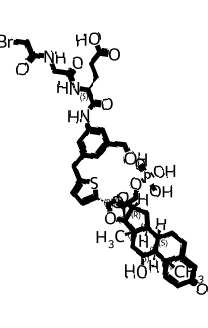 C[C@]12C=CC(=O)C=C1CC[C@@H]1[C@@H]2[C@@H](O)C[C@@]2(C)[C@H]1C[C@H]1O[C@@H](c3ccc(Cc4cc(CO)cc(NC(=O)[C@H](CCC(=O)O)NC(=O)CNC(=O)CBr)c4)s3)O[C@]12C(=O)COP(=O)(O)O